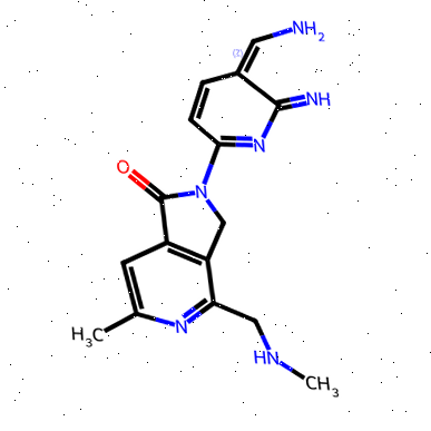 CNCc1nc(C)cc2c1CN(C1=NC(=N)/C(=C\N)C=C1)C2=O